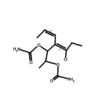 C/C=C\C(=C(\Cl)CC)C(OC(N)=O)C(C)OC(N)=O